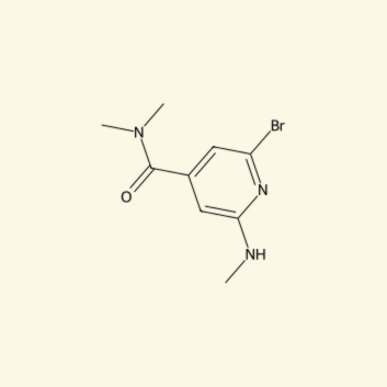 CNc1cc(C(=O)N(C)C)cc(Br)n1